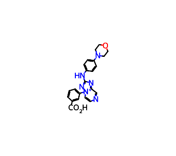 O=C(O)c1cccc([N+]23C=CN=CC2=NC(Nc2ccc(N4CCOCC4)cc2)=N3)c1